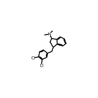 CN(C)C1CC(Cc2ccc(Cl)c(Cl)c2)c2ccccc21